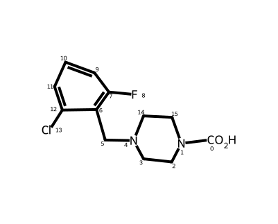 O=C(O)N1CCN(Cc2c(F)cccc2Cl)CC1